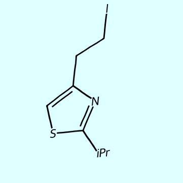 CC(C)c1nc(CCI)cs1